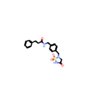 O=C(CCc1ccccc1)NCc1ccc(CN2CC(=O)NS2(=O)=O)cc1